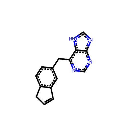 C1=Cc2cc(Cc3ncnc4nc[nH]c34)ccc2C1